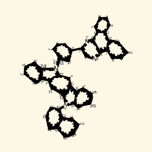 c1cc(-c2cnc3c4ccccc4c4ccccc4c3n2)cc(-n2c3ccccc3c3cc4c(cc32)c2ccccc2n4-c2cccc3ccccc23)c1